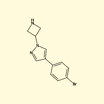 Brc1ccc(-c2cnn(C3CNC3)c2)cc1